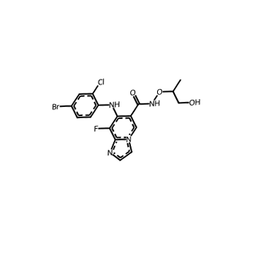 CC(CO)ONC(=O)c1cn2ccnc2c(F)c1Nc1ccc(Br)cc1Cl